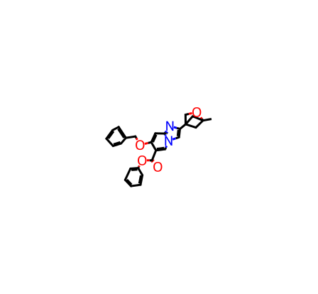 CC12CC(c3cn4cc(C(=O)Oc5ccccc5)c(OCc5ccccc5)cc4n3)(CO1)C2